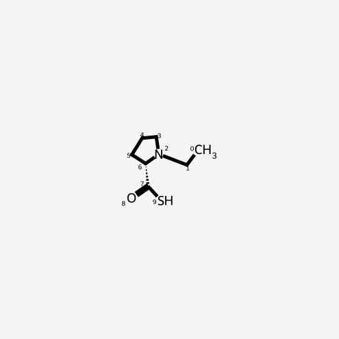 CCN1CCC[C@H]1C(=O)S